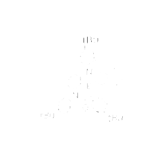 Cc1cc2c3c(c1)N(c1ccc(C(C)(C)C)cc1)c1oc4cc(C(C)(C)C)ccc4c1B3c1cc3c(cc1N2c1ccc(C(C)(C)C)cc1)C(C)(C)CCC3(C)C